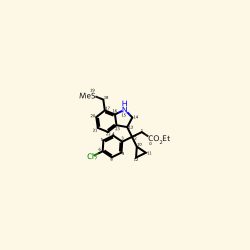 CCOC(=O)CC(c1ccc(Cl)cc1)(C1CC1)C1CNc2c(CSC)cccc21